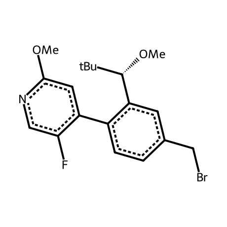 COc1cc(-c2ccc(CBr)cc2[C@@H](OC)C(C)(C)C)c(F)cn1